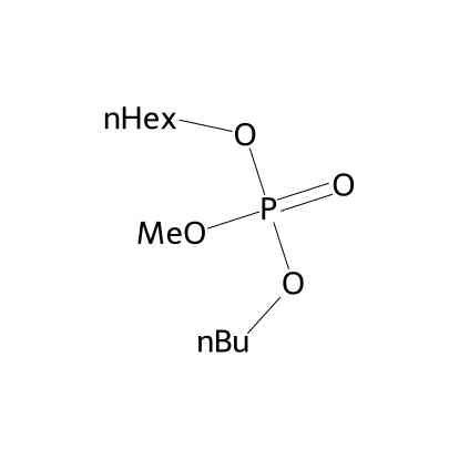 CCCCCCOP(=O)(OC)OCCCC